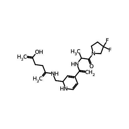 C=C(O)CCC(=C)NCC1C=C(C(=C)NC(C)C(=O)N2CCC(F)(F)C2)C=CN1